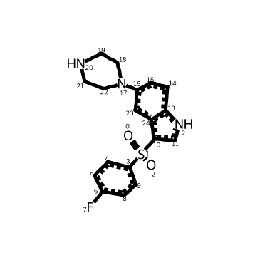 O=S(=O)(c1ccc(F)cc1)c1c[nH]c2ccc(N3CCNCC3)cc12